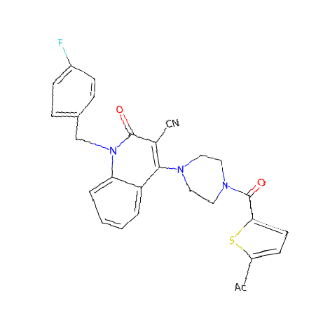 CC(=O)c1ccc(C(=O)N2CCN(c3c(C#N)c(=O)n(Cc4ccc(F)cc4)c4ccccc34)CC2)s1